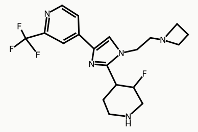 FC1CNCCC1c1nc(-c2ccnc(C(F)(F)F)c2)cn1CCN1CCC1